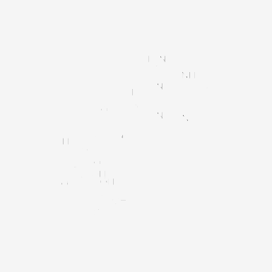 Nc1nc2c(ncn2[C@@H]2O[C@H](COP(=O)(O)OP(=O)(O)OP(=O)(O)O)C(O)[C@@H]2F)c(=O)[nH]1